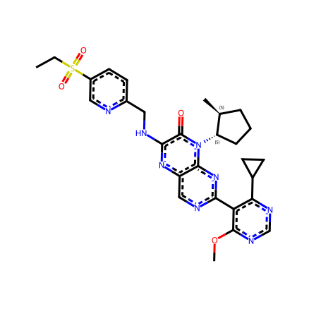 CCS(=O)(=O)c1ccc(CNc2nc3cnc(-c4c(OC)ncnc4C4CC4)nc3n([C@H]3CCC[C@@H]3C)c2=O)nc1